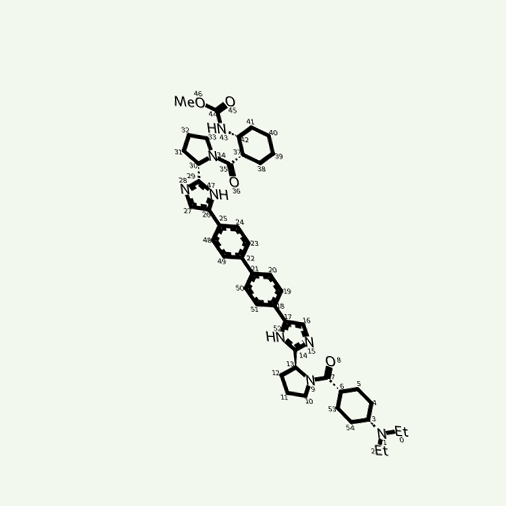 CCN(CC)[C@H]1CC[C@@H](C(=O)N2CCC[C@H]2c2ncc(-c3ccc(-c4ccc(-c5cnc([C@@H]6CCCN6C(=O)[C@H]6CCCC[C@H]6NC(=O)OC)[nH]5)cc4)cc3)[nH]2)CC1